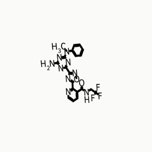 CN(c1ccccc1)c1nc(N)nc(-c2noc(-c3ncccc3C(=O)NCC(F)(F)F)n2)n1